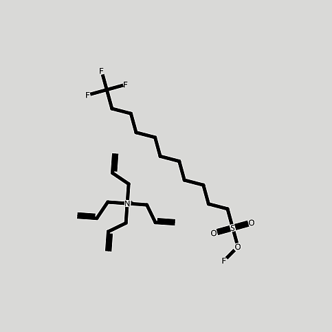 C=CC[N+](CC=C)(CC=C)CC=C.O=S(=O)(CCCCCCCCCCC(F)(F)F)OF